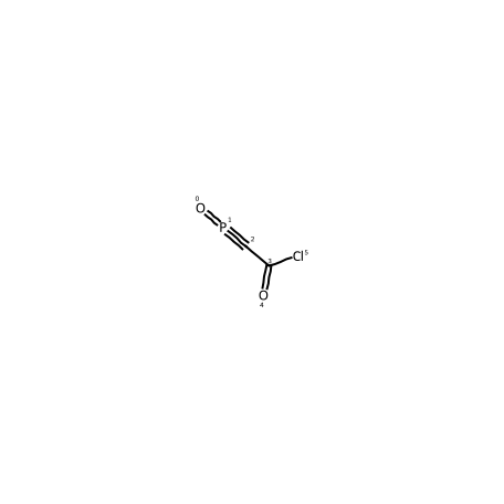 O=P#CC(=O)Cl